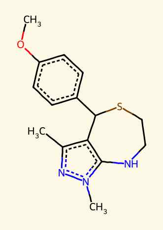 COc1ccc(C2SCCNc3c2c(C)nn3C)cc1